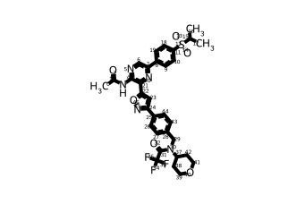 CC(=O)Nc1ncc(-c2ccc(S(=O)(=O)C(C)C)cc2)nc1-c1cc(-c2ccc(CN(C(=O)C(F)(F)F)C3CCOCC3)cc2)no1